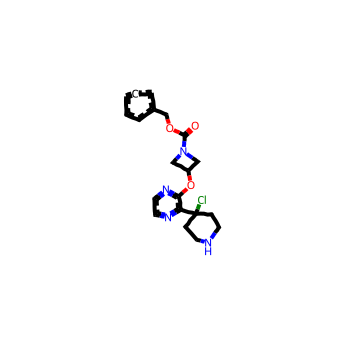 O=C(OCc1ccccc1)N1CC(Oc2nccnc2C2(Cl)CCNCC2)C1